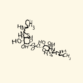 CCNC1=N[C@@H]2[C@@H](O)[C@H](O)[C@@H](COC(=O)OC[C@H]3O[C@@H]4SC(NCC)=N[C@@H]4[C@@H](O)[C@@H]3O)O[C@@H]2S1